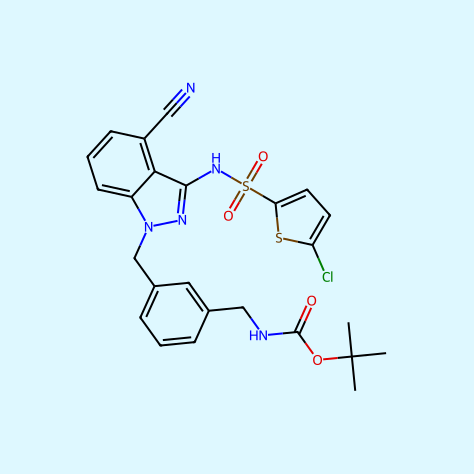 CC(C)(C)OC(=O)NCc1cccc(Cn2nc(NS(=O)(=O)c3ccc(Cl)s3)c3c(C#N)cccc32)c1